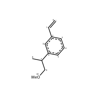 [CH]=Cc1cccc(C(C)COC)c1